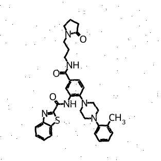 Cc1ccccc1N1CCN(c2ccc(C(=O)NCCCN3CCCC3=O)cc2NC(=O)c2nc3ccccc3s2)CC1